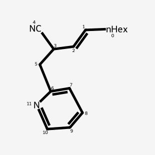 CCCCCC/C=C/C(C#N)Cc1ccccn1